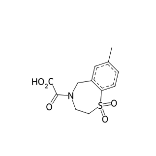 Cc1ccc2c(c1)CN(C(=O)C(=O)O)CCS2(=O)=O